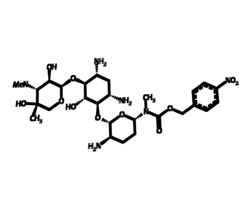 CN[C@@H]1[C@@H](O)[C@@H](O[C@@H]2[C@@H](O)[C@H](O[C@@H]3O[C@H](N(C)C(=O)OCc4ccc([N+](=O)[O-])cc4)CC[C@H]3N)[C@@H](N)C[C@H]2N)OC[C@]1(C)O